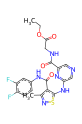 CCOC(=O)CNC(=O)c1cncc(Nc2snc(C)c2C(=O)Nc2ccc(F)c(F)c2)n1